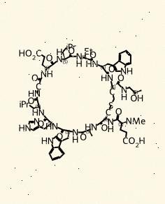 CC[C@@H]1NC(=O)[C@H](CC(C)C)NC(=O)[C@H](CCC(=O)O)NC(=O)CNC(=O)[C@H](CC(C)C)NC(=O)[C@H](Cc2c[nH]cn2)NC(=O)[C@H](Cc2c[nH]c3ccccc23)NC(=O)[C@H](C)NC(=O)[C@@H](NC(=O)[C@H](CCC(=O)O)NC)CSCC[C@@H](C(=O)NC[C@@H](C)O)NC(=O)[C@H](Cc2c[nH]c3ccccc23)NC1=O